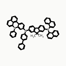 CC1(C)c2cc(N(c3ccc(-c4ccccc4)cc3)c3ccc4c(c3)N(c3ccccc3)c3cccc5cccc-4c35)ccc2-c2ccc(N(c3cccc4ccccc34)c3cccc4ccccc34)cc21